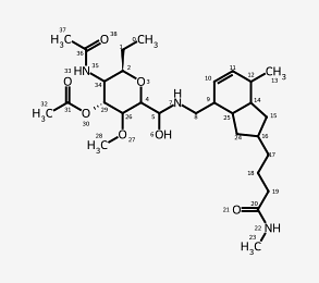 CC[C@H]1OC(C(O)NCC2C=CC(C)C3CC(CCCC(=O)NC)CC23)C(OC)[C@H](OC(C)=O)C1NC(C)=O